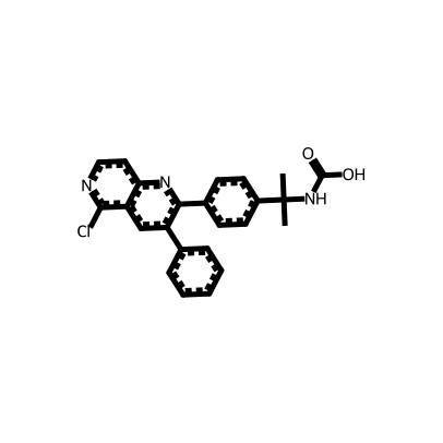 CC(C)(NC(=O)O)c1ccc(-c2nc3ccnc(Cl)c3cc2-c2ccccc2)cc1